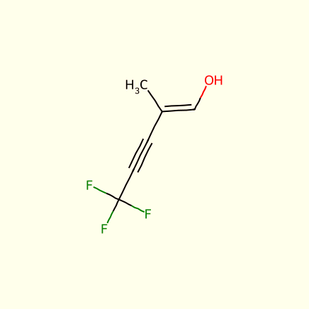 C/C(C#CC(F)(F)F)=C\O